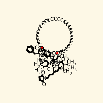 CC[C@H](C)[C@@H]([C@@H](CC(=O)N1[C@H]2CC2CCCCCCCCCCCCCCCCCCCCCCCCCCCC[C@H]1[C@H](OC)[C@@H](C)C(=O)N[C@@H](Cc1ccccc1)C(=O)O)OC)N(C)C(=O)[C@@H](NC(=O)[C@H](C(C)C)N(C)C(=O)CCCCCN1C(=O)C=CC1=O)C(C)C